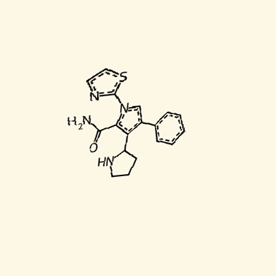 NC(=O)c1c(C2CCCN2)c(-c2ccccc2)cn1-c1nccs1